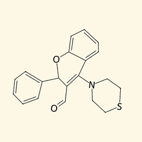 O=CC1=C(N2CCSCC2)c2ccccc2OC1c1ccccc1